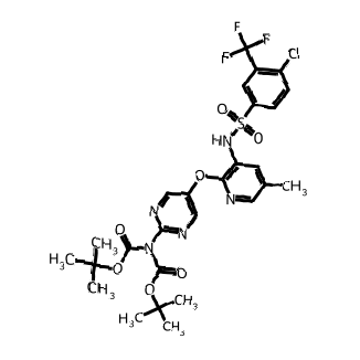 Cc1cnc(Oc2cnc(N(C(=O)OC(C)(C)C)C(=O)OC(C)(C)C)nc2)c(NS(=O)(=O)c2ccc(Cl)c(C(F)(F)F)c2)c1